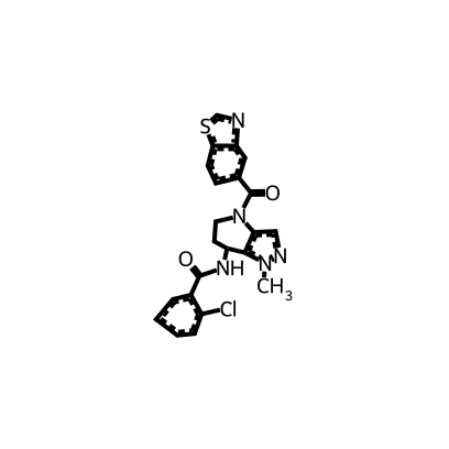 Cn1ncc2c1C(NC(=O)c1ccccc1Cl)CCN2C(=O)c1ccc2scnc2c1